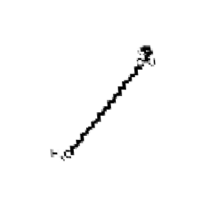 CCCCCCCCCCCCCCCCCCCCCCCCCCCCOC(=O)c1ccco1